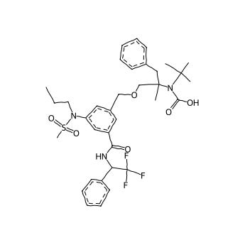 CCCN(c1cc(COCC(C)(Cc2ccccc2)N(C(=O)O)C(C)(C)C)cc(C(=O)NC(c2ccccc2)C(F)(F)F)c1)S(C)(=O)=O